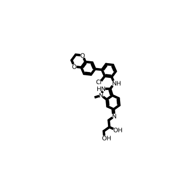 Cn1[nH]c(Nc2cccc(-c3ccc4c(c3)OCCO4)c2Cl)c2ccc(=NCC(O)CO)cc1-2